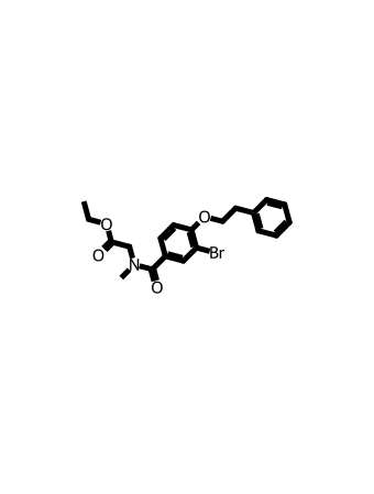 CCOC(=O)CN(C)C(=O)c1ccc(OCCc2ccccc2)c(Br)c1